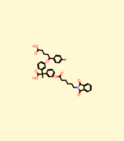 CC(C(=O)O)(c1ccccc1)c1ccccc1.O=C(O)CCCC(=O)c1ccc(F)cc1.O=C(O)CCCCCN1C(=O)c2ccccc2C1=O